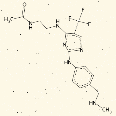 CNCc1ccc(Nc2ncc(C(F)(F)F)c(NCCNC(C)=O)n2)cc1